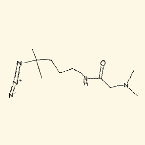 CN(C)CC(=O)NCCCC(C)(C)N=[N+]=[N-]